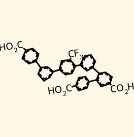 O=C(O)c1ccc(-c2cccc(-c3ccc(-c4cccc(-c5ccc(C(=O)O)cc5-c5ccc(C(=O)O)cc5)c4)c(C(F)(F)F)c3)c2)cc1